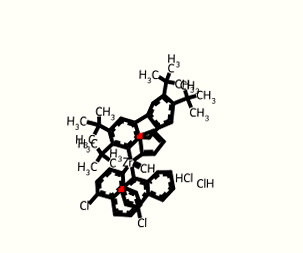 Cl.Cl.[CH2]=[Zr]([C]1=CC=CC1)([c]1c2c(cc(C(C)(C)C)c1C(C)(C)C)-c1cc(C(C)(C)C)c(C(C)(C)C)cc1C2)([c]1ccc(Cl)c2ccccc12)[c]1ccc(Cl)c2ccccc12